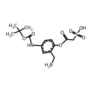 BCc1cc(NC(=O)OC(C)(C)C)ccc1OC(=O)CS(=O)(=O)O